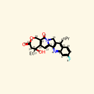 CCCc1c2c(nc3cc(F)ccc13)-c1cc3c(c(=O)n1C2)COC(=O)C[C@]3(O)CC